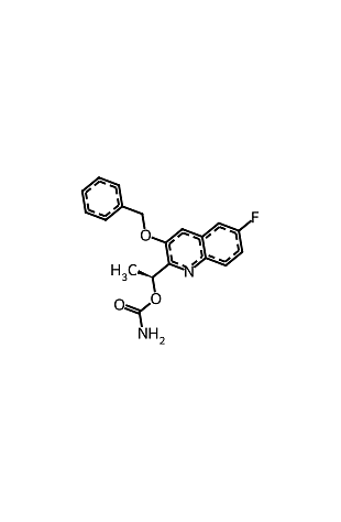 C[C@H](OC(N)=O)c1nc2ccc(F)cc2cc1OCc1ccccc1